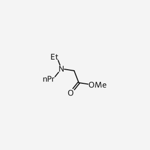 [CH2]OC(=O)CN(CC)CCC